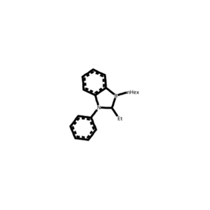 CCCCCCB1c2ccccc2N(c2ccccc2)C1CC